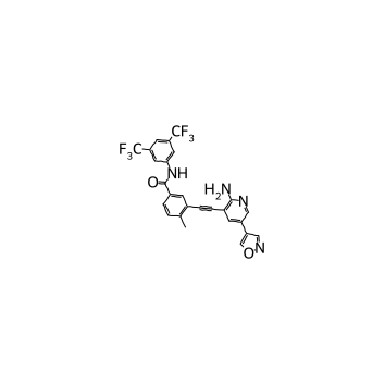 Cc1ccc(C(=O)Nc2cc(C(F)(F)F)cc(C(F)(F)F)c2)cc1C#Cc1cc(-c2cnoc2)cnc1N